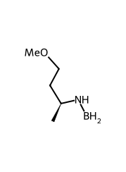 BN[C@@H](C)CCOC